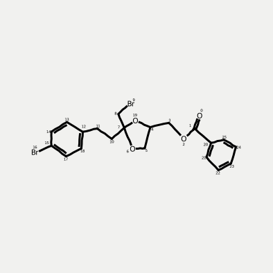 O=C(OCC1COC(CBr)(CCc2ccc(Br)cc2)O1)c1ccccc1